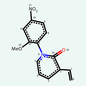 C=Cc1cccn(-c2ccc([N+](=O)[O-])cc2OC)c1=O